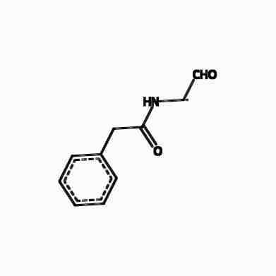 O=C[CH]NC(=O)Cc1ccccc1